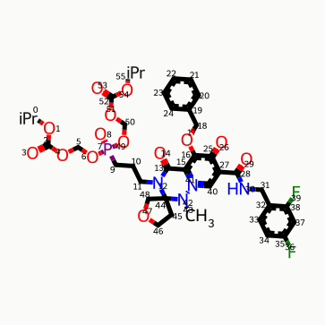 CC(C)OC(=O)OCOP(=O)(CCCN1C(=O)c2c(OCc3ccccc3)c(=O)c(C(=O)NCc3ccc(F)cc3F)cn2N(C)C12CCOC2)OCOC(=O)OC(C)C